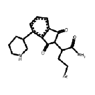 CC(=O)CCC(C(N)=O)C1C(=O)c2cccc(C3CCCNC3)c2C1=O